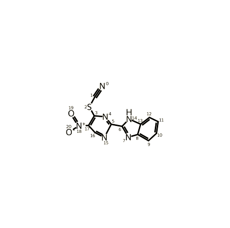 N#CSc1nc(-c2nc3ccccc3[nH]2)ncc1[N+](=O)[O-]